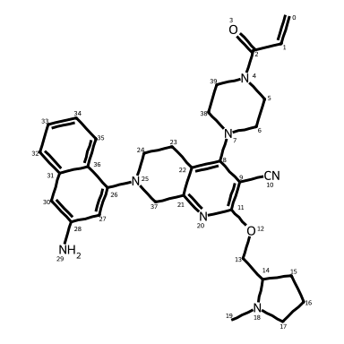 C=CC(=O)N1CCN(c2c(C#N)c(OCC3CCCN3C)nc3c2CCN(c2cc(N)cc4ccccc24)C3)CC1